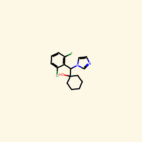 OC1(C(c2c(F)cccc2Cl)n2ccnc2)CCCCC1